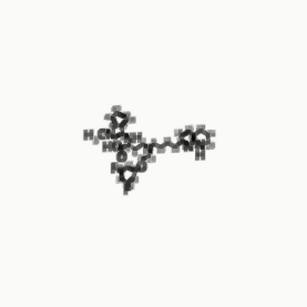 Cn1cc(N[C@@H](CCN(CCCCc2ccc3c(n2)NCCC3)CCOc2cc(F)cc(F)c2)C(=O)O)c2ccccc21